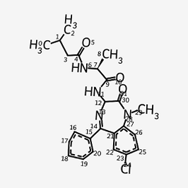 CC(C)CC(=O)N[C@@H](C)C(=O)NC1N=C(c2ccccc2)c2cc(Cl)ccc2N(C)C1=O